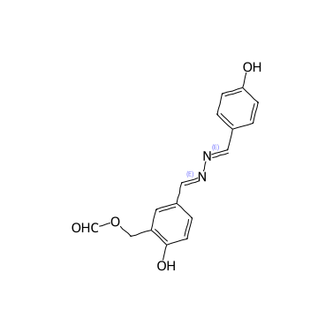 O=COCc1cc(/C=N/N=C/c2ccc(O)cc2)ccc1O